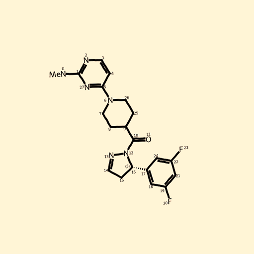 CNc1nccc(N2CCC(C(=O)N3N=CC[C@H]3c3cc(F)cc(F)c3)CC2)n1